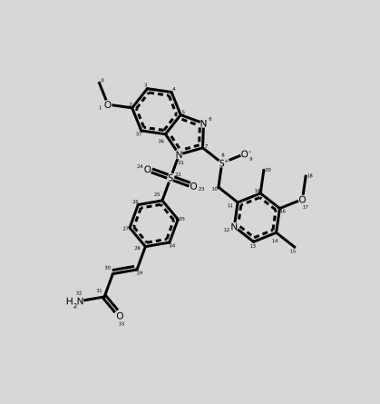 COc1ccc2nc([S+]([O-])Cc3ncc(C)c(OC)c3C)n(S(=O)(=O)c3ccc(/C=C/C(N)=O)cc3)c2c1